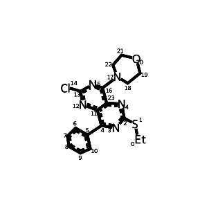 CCSc1nc(-c2ccccc2)c2nc(Cl)nc(N3CCOCC3)c2n1